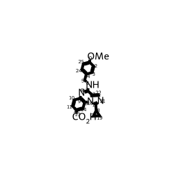 COc1ccc(CNc2nc3ccc(C(=O)O)cc3n3c(C4CC4)ncc23)cc1